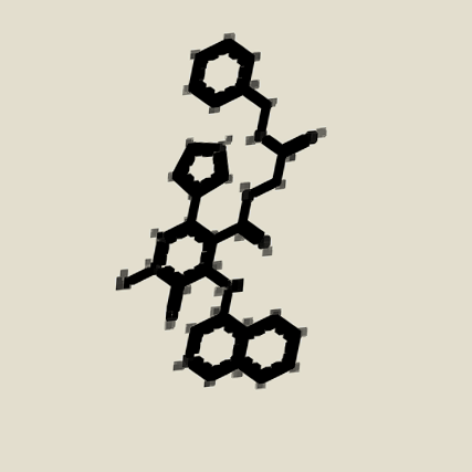 CCn1nc(-c2ccsc2)c(C(=O)OCC(=O)OCc2ccccc2)c(Nc2cncc3ccccc23)c1=O